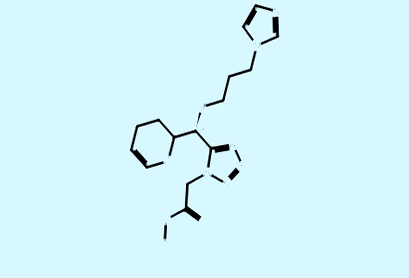 COC(=O)Cn1nnnc1[C@H](NCCCn1ccnc1)C1CCC=CO1